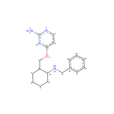 Nc1nccc(OCC2CCCCC2NCc2ccccc2)n1